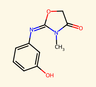 CN1C(=O)COC1=Nc1cccc(O)c1